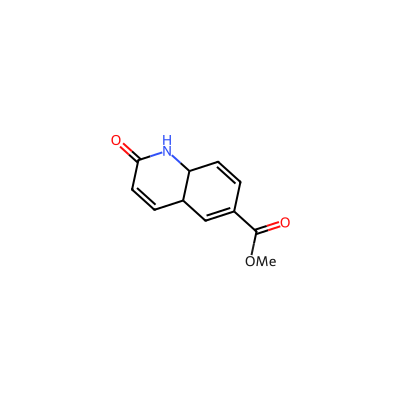 COC(=O)C1=CC2C=CC(=O)NC2C=C1